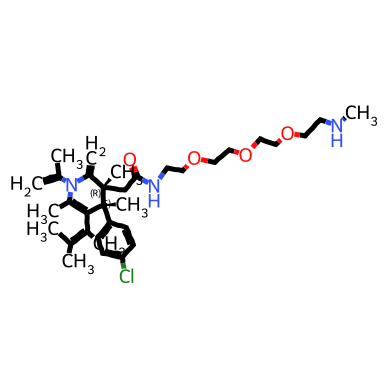 C=C(C)N1C(=C)[C@](C)(CC(=O)NCCOCCOCCOCCNC)[C@](C)(c2ccc(Cl)cc2)C(C(C)=C(C)C)=C1C